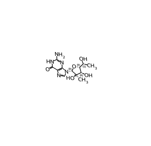 C[C@H](O)[C@H]1O[C@@H](n2cnc3c(=O)[nH]c(N)nc32)[C@](C)(O)[C@@H]1O